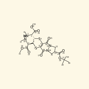 CN[C@@H](CSc1c(SC[C@H](NC)C(=O)OC)c(=O)n2n(c1=O)CC(C(=O)OC(C)(C)C)C2)C(=O)OC